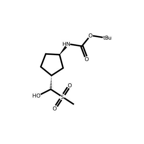 CC(C)(C)OC(=O)N[C@@H]1CC[C@@H](C(O)S(C)(=O)=O)C1